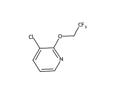 FC(F)(F)COc1ncccc1Cl